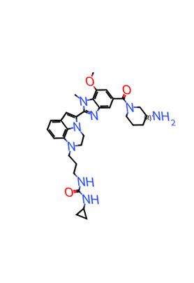 COc1cc(C(=O)N2CCC[C@@H](N)C2)cc2nc(-c3cc4cccc5c4n3CCN5CCCNC(=O)NC3CC3)n(C)c12